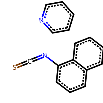 S=C=Nc1cccc2ccccc12.c1ccncc1